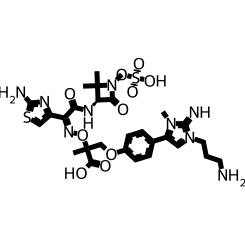 Cn1c(-c2ccc(OCC(C)(O/N=C(\C(=O)N[C@@H]3C(=O)N(OS(=O)(=O)O)C3(C)C)c3csc(N)n3)C(=O)O)cc2)cn(CCCN)c1=N